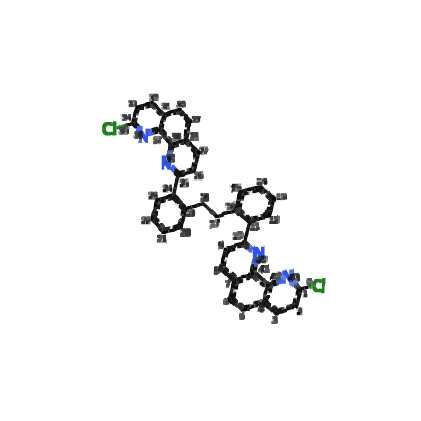 Clc1ccc2ccc3ccc(-c4ccccc4CCc4ccccc4-c4ccc5ccc6ccc(Cl)nc6c5n4)nc3c2n1